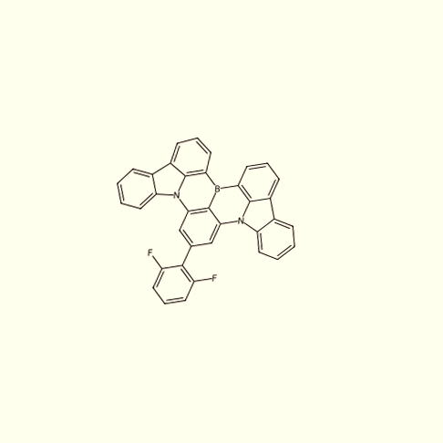 Fc1cccc(F)c1-c1cc2c3c(c1)-n1c4ccccc4c4cccc(c41)B3c1cccc3c4ccccc4n-2c13